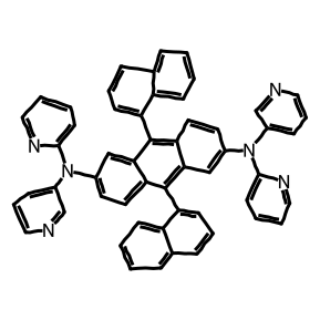 c1ccc(N(c2cccnc2)c2ccc3c(-c4cccc5ccccc45)c4cc(N(c5cccnc5)c5ccccn5)ccc4c(-c4cccc5ccccc45)c3c2)nc1